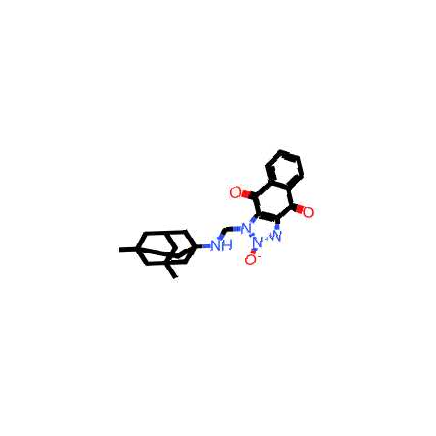 CC12CC3CC(C)(C1)CC(NCn1c4c(n[n+]1[O-])C(=O)c1ccccc1C4=O)(C3)C2